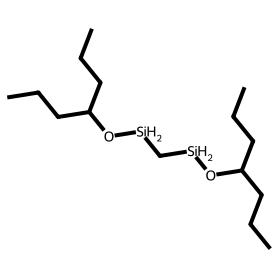 CCCC(CCC)O[SiH2]C[SiH2]OC(CCC)CCC